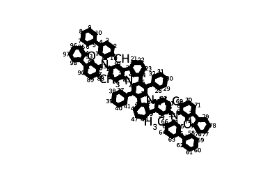 Cc1ccc(-c2ccccc2)cc1N(c1ccc2c(c1)c1cccc3c4c(-c5ccccc5)c5c(c(-c6ccccc6)c4n2c13)c1cccc2c3cc(N(c4cc(-c6ccccc6)ccc4C)c4c(C)ccc6c4oc4ccccc46)ccc3n5c21)c1c(C)ccc2c1oc1ccccc12